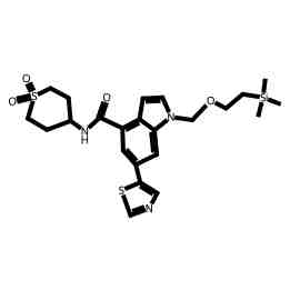 C[Si](C)(C)CCOCn1ccc2c(C(=O)NC3CCS(=O)(=O)CC3)cc(-c3cncs3)cc21